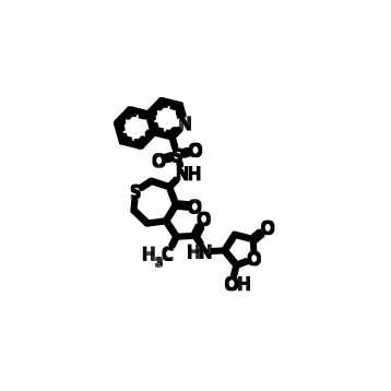 CC(C(=O)NC1CC(=O)OC1O)C1CCSCC(NS(=O)(=O)c2nccc3ccccc23)C1=O